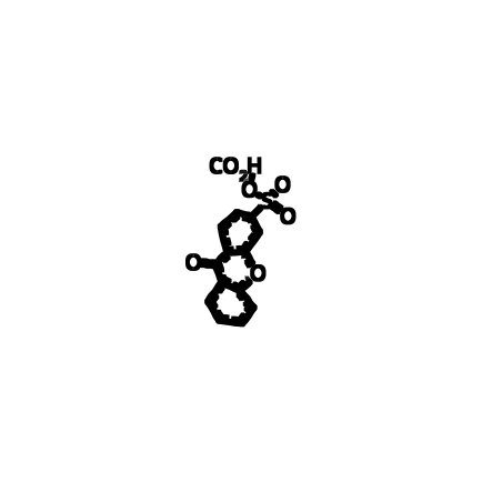 O=C(O)OS(=O)(=O)c1ccc2c(=O)c3ccccc3oc2c1